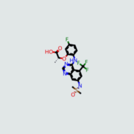 C[C@@H](Oc1cc(F)ccc1Nc1ncnc2cc(N=S(C)(C)=O)cc(C(F)(F)F)c12)C(=O)O